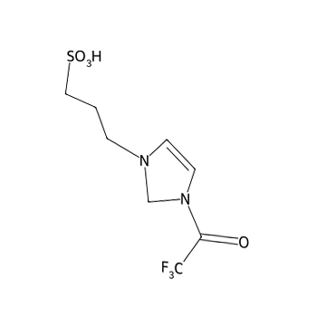 O=C(N1C=CN(CCCS(=O)(=O)O)C1)C(F)(F)F